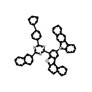 c1ccc(-c2ccc(-c3nc(-c4ccc5ccccc5c4)nc(-c4cc(-n5c6ccccc6c6cc7ccccc7cc65)cc5c4oc4ccc6ccccc6c45)n3)cc2)cc1